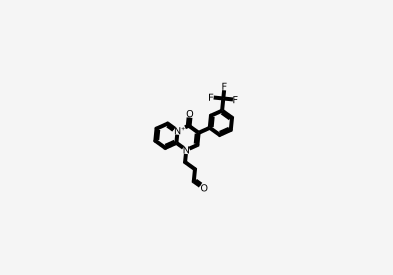 O=CCCn1cc(-c2cccc(C(F)(F)F)c2)c(=O)[n+]2ccccc12